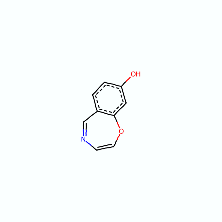 Oc1ccc2c(c1)OC=CN=C2